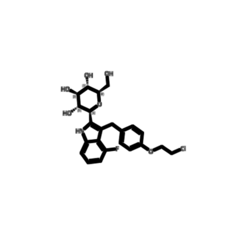 OC[C@H]1O[C@@H](c2[nH]c3cccc(F)c3c2Cc2ccc(OCCCl)cc2)[C@H](O)[C@@H](O)[C@@H]1O